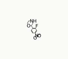 O=[N+]([O-])c1ccc(C2CNCCO2)c(F)c1